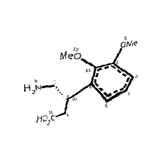 COc1cccc([C@@H](CN)CC(=O)O)c1OC